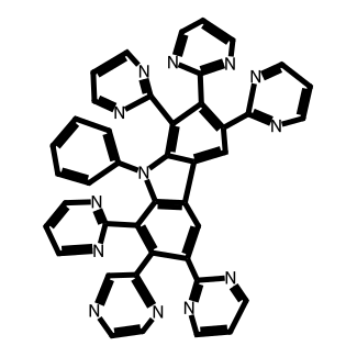 c1ccc(-n2c3c(-c4ncccn4)c(-c4cnccn4)c(-c4ncccn4)cc3c3cc(-c4ncccn4)c(-c4ncccn4)c(-c4ncccn4)c32)cc1